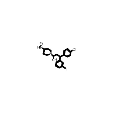 CCNC1CCN([C@H](C)CC(c2ccc(Cl)cc2)c2cccc(F)c2)CC1